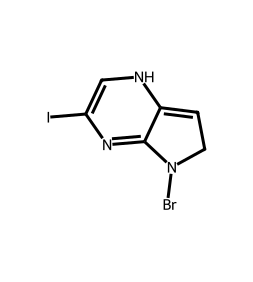 BrN1CC=C2NC=C(I)N=C21